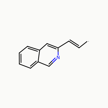 [CH2]C=Cc1cc2ccccc2cn1